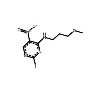 COCCCNc1nc(I)ncc1[N+](=O)[O-]